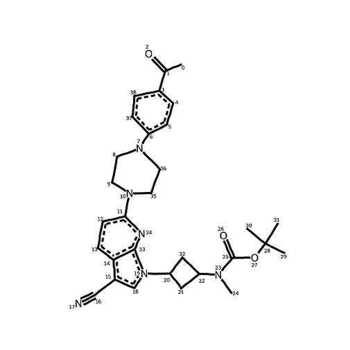 CC(=O)c1ccc(N2CCN(c3ccc4c(C#N)cn(C5CC(N(C)C(=O)OC(C)(C)C)C5)c4n3)CC2)cc1